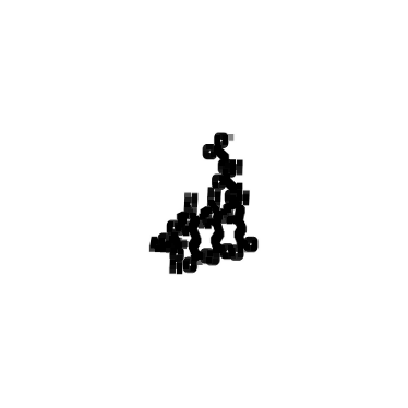 O=C([O-])C=Cc1c[nH]cn1.O=C([O-])C=Cc1c[nH]cn1.O=C([O-])C=Cc1c[nH]cn1.O=C([O-])CO.O=C([O-])CO.O=C([O-])CO.[Mo+6]